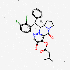 CC(C)CC(=O)Oc1c2n(ncc1=O)[C@@H](C(c1ccccc1)c1cccc(F)c1F)[C@H]1CCCN1C2=O